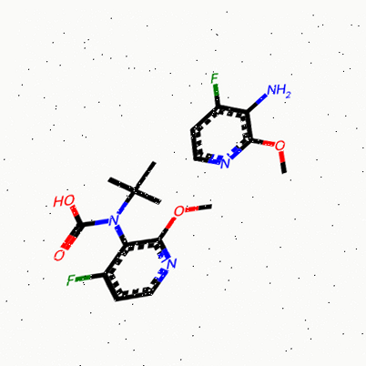 COc1nccc(F)c1N.COc1nccc(F)c1N(C(=O)O)C(C)(C)C